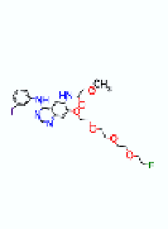 COCC(=O)Nc1cc2c(Nc3cccc(I)c3)ncnc2cc1OCCOCCOCCOCCF